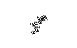 CC(C)(C)C(O)Nc1cncc(-c2ccc3[nH]nc(-c4nc5c(-c6ccccn6)cncc5[nH]4)c3c2)c1